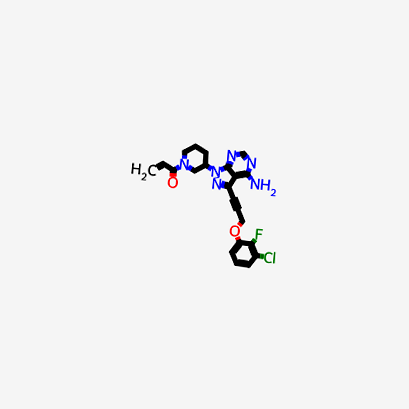 C=CC(=O)N1CCCC(n2nc(C#CCOc3cccc(Cl)c3F)c3c(N)ncnc32)C1